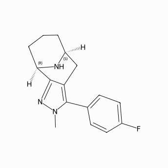 Cn1nc2c(c1-c1ccc(F)cc1)C[C@@H]1CCC[C@H]2N1